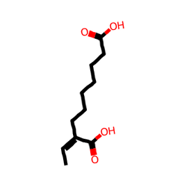 CC=C(CCCCCCC(=O)O)C(=O)O